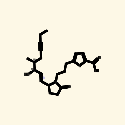 CCC#CC[C@H](C)[C@H](O)/C=C/C1CCC(=O)N1CCCc1ccc(C(=O)O)s1